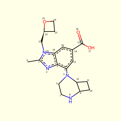 Cc1nc2c(N3CCNC4CCC43)cc(C(=O)O)cc2n1C[C@@H]1CCO1